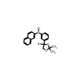 CCC1(c2cccc([S+]([O-])c3ccc4ccccc4c3)c2)COC(C)(C)O1